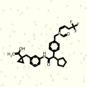 C=C(O)C1(Cc2cccc(NC(=O)C(c3ccc(CN(C=O)/C=C\CC(F)(F)F)cc3)C3CCCC3)c2)CC1